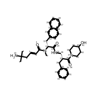 CN(C(=O)C=CCC(C)(C)N)[C@H](Cc1ccc2ccccc2c1)C(=O)NC[C@@H](Cc1ccccc1)C(=O)N1CCC(O)CC1